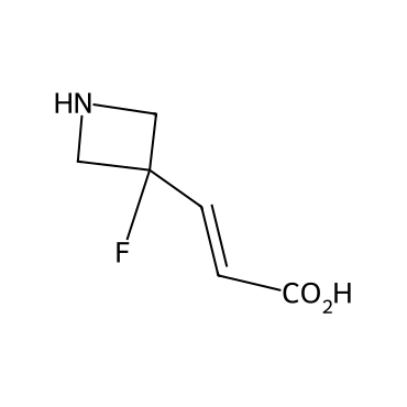 O=C(O)/C=C/C1(F)CNC1